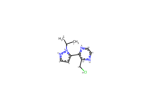 CC(C)n1nccc1-c1nccnc1CCl